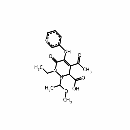 CCN1C(=O)C(Nc2cccnc2)=C(C(C)=O)C(C(=O)O)N1C(C)OC